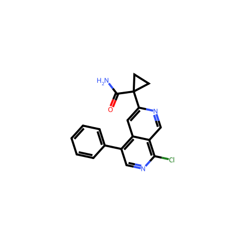 NC(=O)C1(c2cc3c(-c4ccccc4)cnc(Cl)c3cn2)CC1